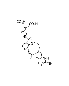 N=C(N)Nc1ccc2c(c1)CCCOc1c(cccc1C(=O)NCC(=O)N(CC(=O)O)CC(=O)O)OC2=O